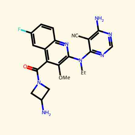 CCN(c1ncnc(N)c1C#N)c1nc2ccc(F)cc2c(C(=O)N2CC(N)C2)c1OC